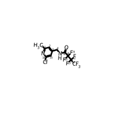 Cc1cc(CNC(=O)C(F)(F)C(F)(F)C(F)(F)F)cc(Cl)n1